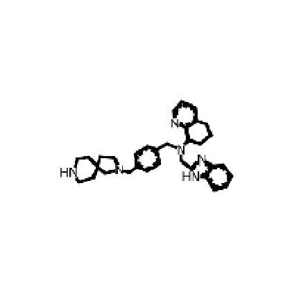 c1cnc2c(c1)CCCC2N(Cc1ccc(CN2CCC3(CCNCC3)C2)cc1)Cc1nc2ccccc2[nH]1